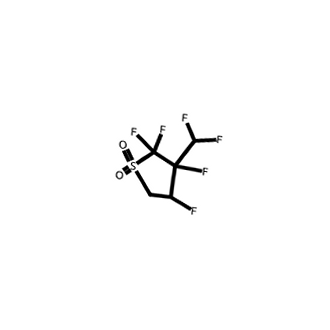 O=S1(=O)CC(F)C(F)(C(F)F)C1(F)F